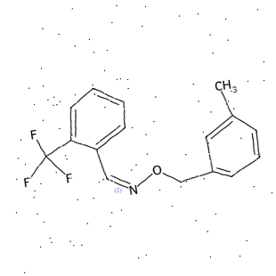 Cc1cccc(CO/N=[C]\c2ccccc2C(F)(F)F)c1